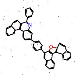 c1ccc(-c2nc3cc(-c4ccc(-c5cc6ccccc6c6c5oc5ccc7ccccc7c56)cc4)ccc3c3c2ccc2ccccc23)cc1